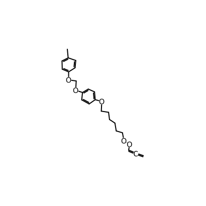 C=C=COOCCCCCCOc1ccc(OCOc2ccc(C)cc2)cc1